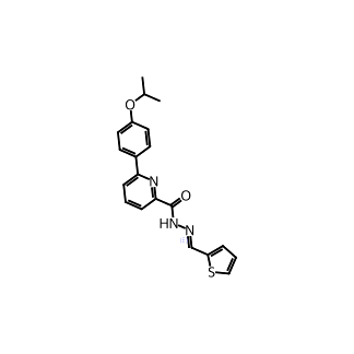 CC(C)Oc1ccc(-c2cccc(C(=O)N/N=C/c3cccs3)n2)cc1